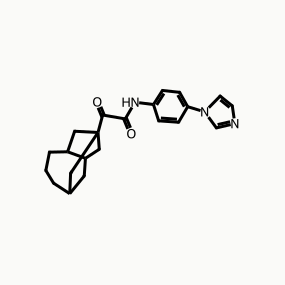 O=C(Nc1ccc(-n2ccnc2)cc1)C(=O)C12CC3CCCC(C1)C(C3)C2